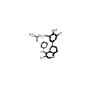 CC(=O)c1cnc2ccc(-c3cc(Cl)c(O)c(Cl)c3)cc2c1N[C@H]1CCC[C@@H](CN(C)C)C1